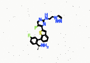 C[C@@H](N)c1ccc(F)cc1-c1cccc2cc(-c3nc(NCCn4ccnn4)ncc3F)sc12